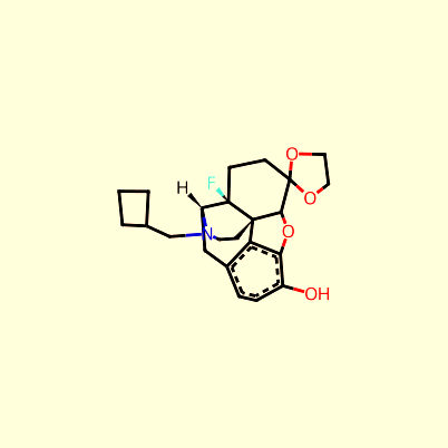 Oc1ccc2c3c1OC1C4(CC[C@@]5(F)[C@@H](C2)N(CC2CCC2)CC[C@]315)OCCO4